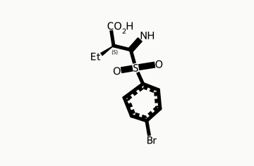 CC[C@H](C(=N)S(=O)(=O)c1ccc(Br)cc1)C(=O)O